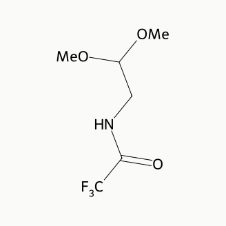 COC(CNC(=O)C(F)(F)F)OC